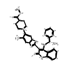 C[C@H](Nc1c(-c2nc3cc(C(F)(F)F)c(N4CCC(C(=O)OC(C)(C)C)CC4)cc3[nH]2)c(=O)[nH]c2ccccc12)c1ncccn1